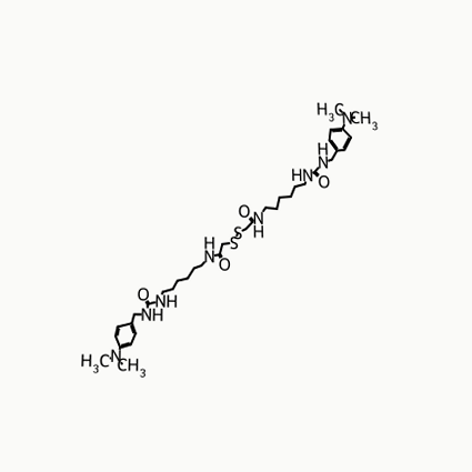 CN(C)c1ccc(CNC(=O)NCCCCCCNC(=O)CSSCC(=O)NCCCCCCNC(=O)NCc2ccc(N(C)C)cc2)cc1